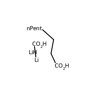 CCCCCCCC(=O)O.[LiH].[Li][C](=O)O